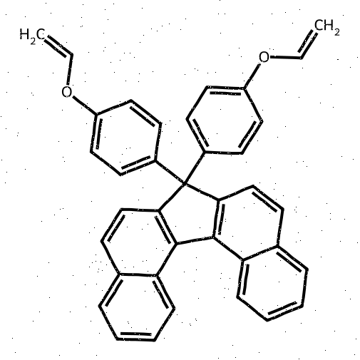 C=COc1ccc(C2(c3ccc(OC=C)cc3)c3ccc4ccccc4c3-c3c2ccc2ccccc32)cc1